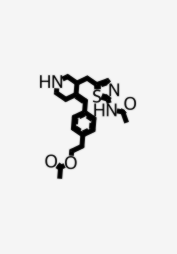 CC(=O)Nc1ncc(CC2CNCCC2=Cc2ccc(CCOC(C)=O)cc2)s1